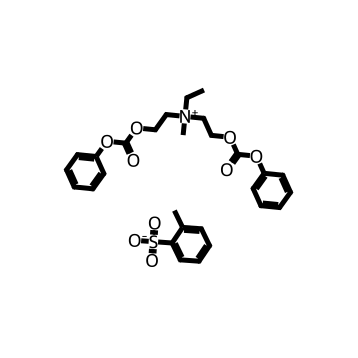 CC[N+](C)(CCOC(=O)Oc1ccccc1)CCOC(=O)Oc1ccccc1.Cc1ccccc1S(=O)(=O)[O-]